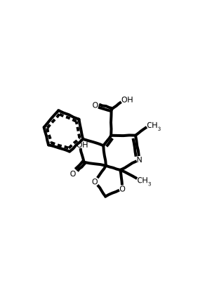 CC1=NC2(C)OCOC2(C(=O)O)C(c2ccccc2)=C1C(=O)O